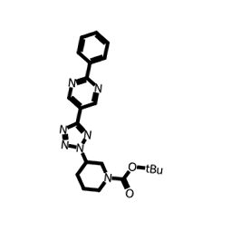 CC(C)(C)OC(=O)N1CCCC(n2nnc(-c3cnc(-c4ccccc4)nc3)n2)C1